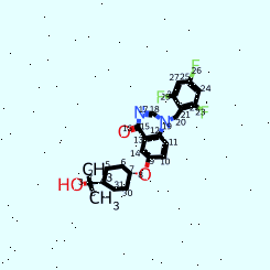 CC(C)(O)[C@H]1CC[C@H](Oc2ccc3c(c2)c(=O)ncn3Cc2c(F)cc(F)cc2F)CC1